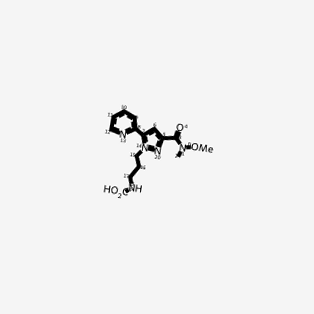 CON(C)C(=O)c1cc(-c2ccccn2)n(CCCNC(=O)O)n1